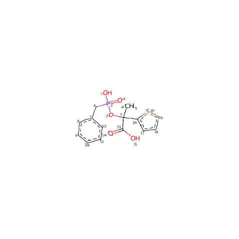 CC(OP(=O)(O)Cc1ccccc1)(C(=O)O)c1cccs1